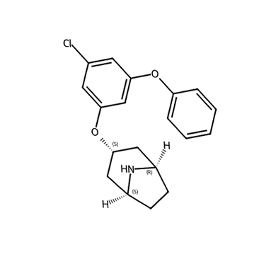 Clc1cc(Oc2ccccc2)cc(O[C@@H]2C[C@H]3CC[C@@H](C2)N3)c1